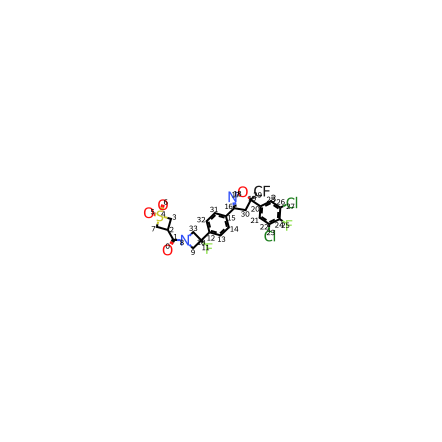 O=C(C1CS(=O)(=O)C1)N1CC(F)(c2ccc(C3=NOC(c4cc(Cl)c(F)c(Cl)c4)(C(F)(F)F)C3)cc2)C1